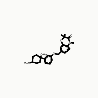 COC1CCC(OC)(c2cccc(OCc3ccc4c(c3)OC(C)(C)C(=O)N4C)c2)CC1